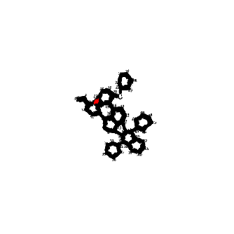 C=Cc1ccc(-c2ccc3c4c(ccc(-c5ccccc5Oc5ccccc5)c24)-c2c-3c(-c3ccccc3)c3ccccc3c2-c2ccccc2)cc1